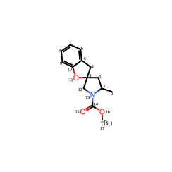 CC1CC2(Cc3ccccc3O2)CN1C(=O)OC(C)(C)C